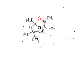 C[C][Si](C)(C)O[Si](C)(C)O[SiH](C)CC(C)C